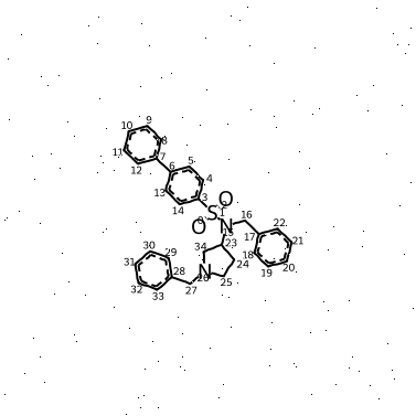 O=S(=O)(c1ccc(-c2ccccc2)cc1)N(Cc1ccccc1)C1CCN(Cc2ccccc2)C1